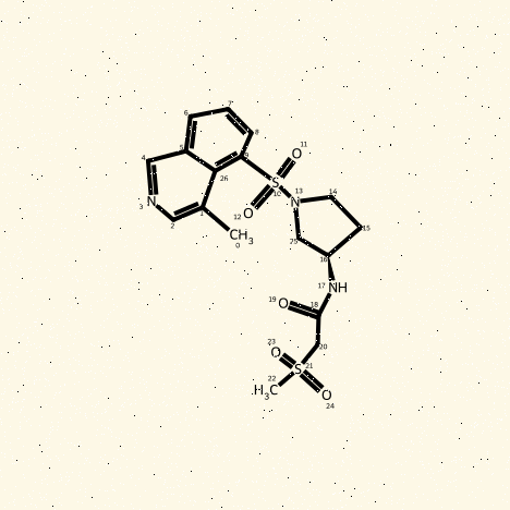 Cc1cncc2cccc(S(=O)(=O)N3CC[C@@H](NC(=O)CS(C)(=O)=O)C3)c12